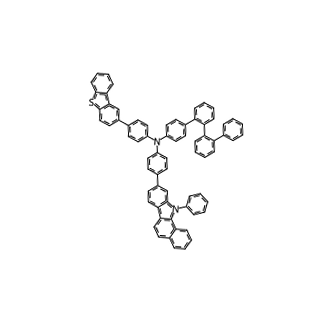 c1ccc(-c2ccccc2-c2ccccc2-c2ccc(N(c3ccc(-c4ccc5sc6ccccc6c5c4)cc3)c3ccc(-c4ccc5c6ccc7ccccc7c6n(-c6ccccc6)c5c4)cc3)cc2)cc1